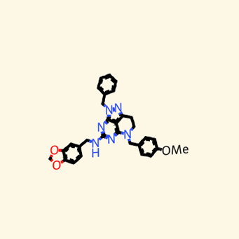 COc1ccc(CN2CCc3nn(Cc4ccccc4)c4nc(NCc5ccc6c(c5)OCO6)nc2c34)cc1